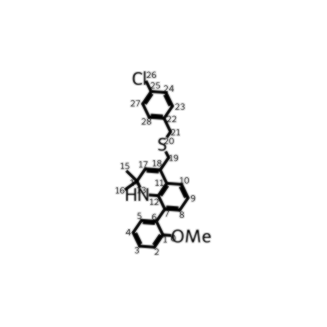 COc1ccccc1-c1cccc2c1NC(C)(C)C=C2CSCc1ccc(Cl)cc1